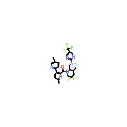 Cc1ccc(-c2ccc(C)nc2C(=O)N2CC(F)(F)CC(C)C2CNc2ncc(C(F)(F)F)cn2)nc1